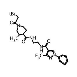 CC1CN(C(=O)CC(C)(C)C)CCC1C(=O)NCCNC(=O)c1cn(-c2ccccc2)nc1C(F)(F)F